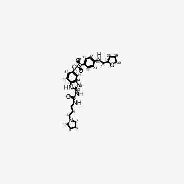 O=C(NCCCN1CCCC1)Nc1nc2cc(OS(=O)(=O)c3ccc(NCC4CCCO4)cc3)ccc2[nH]1